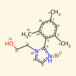 Cc1cc(C)c(-c2[nH]cc[n+]2CCO)c(C)c1.[Br-]